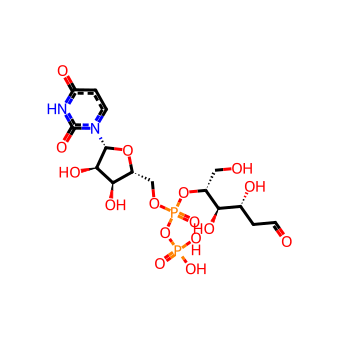 O=CC[C@@H](O)[C@@H](O)[C@@H](CO)OP(=O)(OC[C@H]1O[C@@H](n2ccc(=O)[nH]c2=O)[C@H](O)[C@@H]1O)OP(=O)(O)O